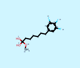 OC(O)(CCCCCCc1cc(F)c(F)c(F)c1)O[SiH3]